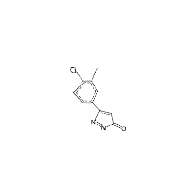 Cc1cc(C2=CC(=O)N=N2)ccc1Cl